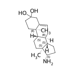 C[C@]12CC[C@H]3[C@@H](CC=C4CC(O)(O)CC[C@@]43C)[C@@H]1CC[C@@H]2N